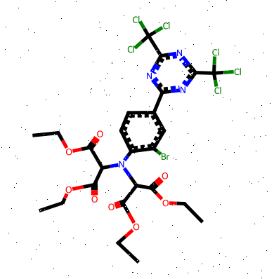 CCOC(=O)C(C(=O)OCC)N(c1ccc(-c2nc(C(Cl)(Cl)Cl)nc(C(Cl)(Cl)Cl)n2)cc1Br)C(C(=O)OCC)C(=O)OCC